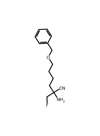 N#CC(N)(CF)CCCCOCc1ccccc1